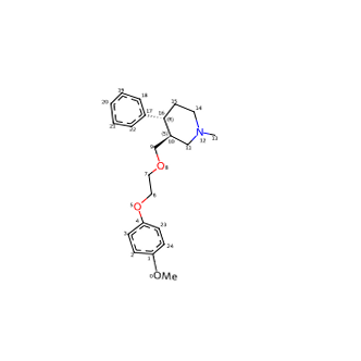 COc1ccc(OCCOC[C@@H]2CN(C)CC[C@H]2c2ccccc2)cc1